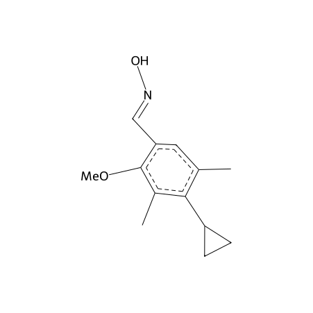 COc1c(C=NO)cc(C)c(C2CC2)c1C